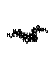 C=CC(=O)N1CCC(c2cc(-c3ccc(O/C(=C/C=C\C)N=C)cc3)c(N)c3cncnc23)C1